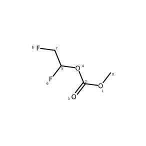 COC(=O)OC(F)CF